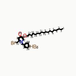 Br.CCCCCCCCCCCCCCCCC=COc1cn(Cc2ccccc2)c(CBr)cc1=O